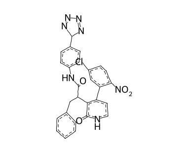 O=C(Nc1ccc(C2N=NN=N2)cc1)C(Cc1ccccc1)c1c(-c2cc(Cl)ccc2[N+](=O)[O-])cc[nH]c1=O